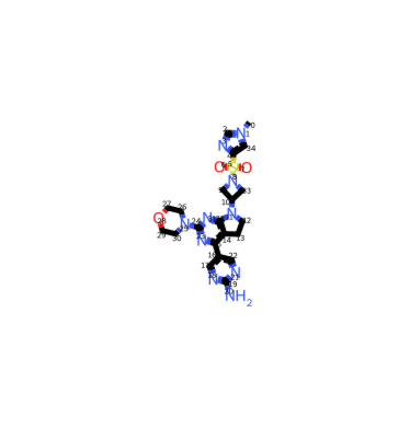 Cn1cnc(S(=O)(=O)N2CC(N3CCc4c(-c5cnc(N)nc5)nc(N5CCOCC5)nc43)C2)c1